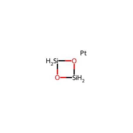 O1[SiH2]O[SiH2]1.[Pt]